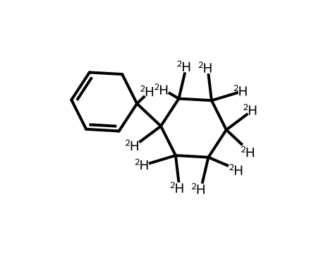 [2H]C1(C2([2H])C([2H])([2H])C([2H])([2H])C([2H])([2H])C([2H])([2H])C2([2H])[2H])C=CC=CC1